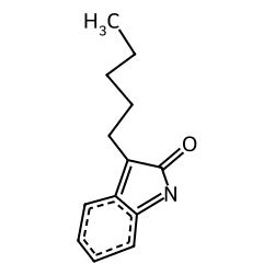 CCCCCC1=c2ccccc2=NC1=O